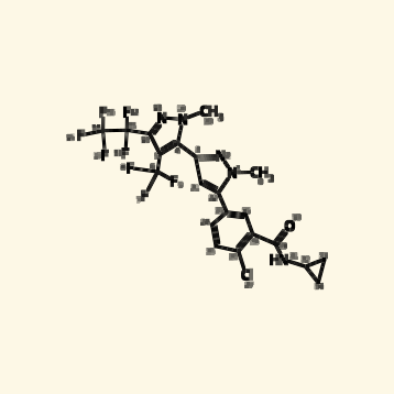 Cn1nc(-c2c(C(F)(F)F)c(C(F)(F)C(F)(F)F)nn2C)cc1-c1ccc(Cl)c(C(=O)NC2CC2)c1